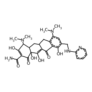 CN(C)c1cc(CNc2ccccn2)c(O)c2c1CC1CC3C(N(C)C)C(O)=C(C(N)=O)C(=O)C3(O)C(O)=C1C2=O